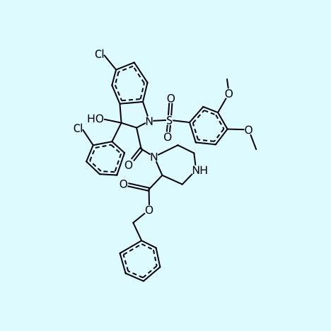 COc1ccc(S(=O)(=O)N2c3ccc(Cl)cc3C(O)(c3ccccc3Cl)C2C(=O)N2CCNCC2C(=O)OCc2ccccc2)cc1OC